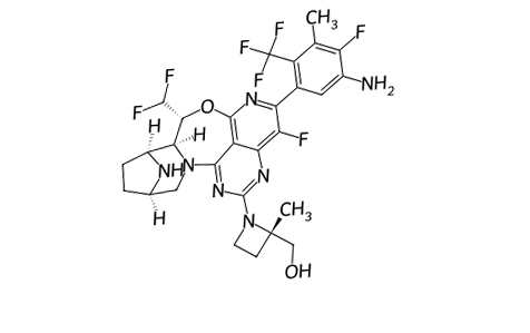 Cc1c(F)c(N)cc(-c2nc3c4c(nc(N5CC[C@@]5(C)CO)nc4c2F)N2C[C@H]4CC[C@H](N4)[C@H]2[C@H](C(F)F)O3)c1C(F)(F)F